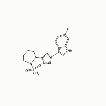 CS(=O)(=O)N1CCCCC1n1cc(-c2c[nH]c3cc(F)ccc23)cn1